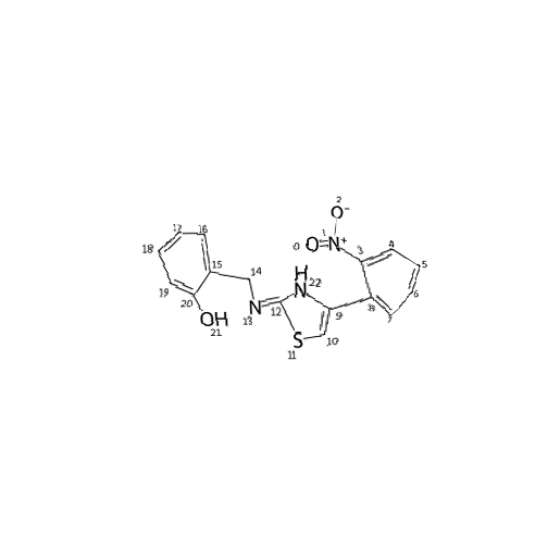 O=[N+]([O-])c1ccccc1-c1csc(=NCc2ccccc2O)[nH]1